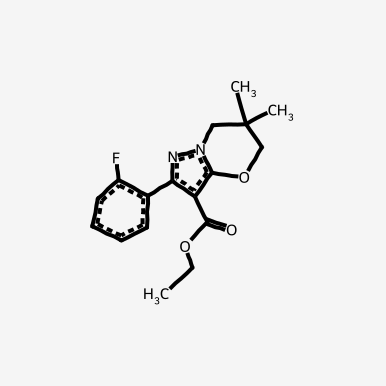 CCOC(=O)c1c(-c2ccccc2F)nn2c1OCC(C)(C)C2